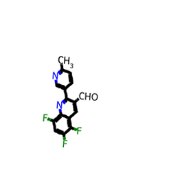 Cc1ccc(-c2nc3c(F)cc(F)c(F)c3cc2C=O)cn1